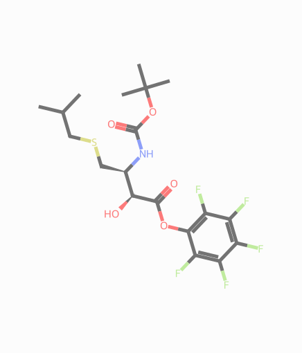 CC(C)CSC[C@@H](NC(=O)OC(C)(C)C)[C@H](O)C(=O)Oc1c(F)c(F)c(F)c(F)c1F